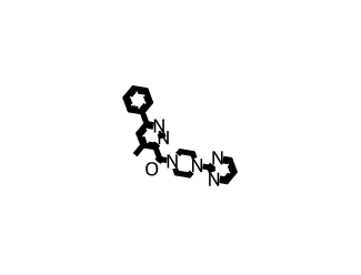 Cc1cc(-c2ccccc2)nnc1C(=O)N1CCN(c2ncccn2)CC1